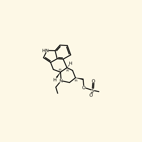 CCN1C[C@H](COS(C)(=O)=O)C[C@@H]2c3cccc4[nH]cc(c34)C[C@H]21